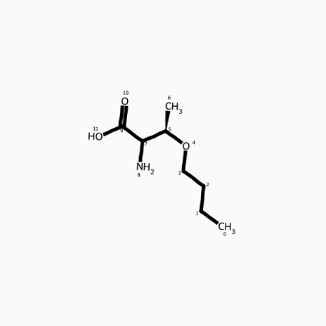 CCCCO[C@H](C)C(N)C(=O)O